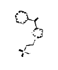 O=C(c1ccccc1)c1ccn(CCS(=O)(=O)F)n1